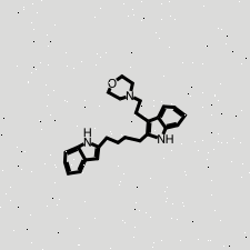 c1ccc2[nH]c(CCCCc3[nH]c4ccccc4c3CCN3CCOCC3)cc2c1